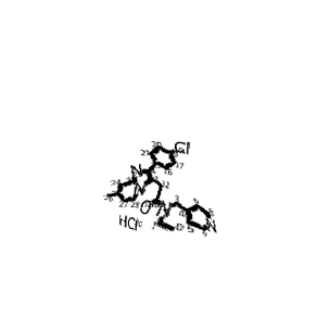 CCN(Cc1ccncc1)C(=O)Cc1c(-c2ccc(Cl)cc2)nc2cc(C)ccn12.Cl